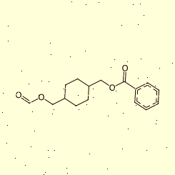 O=COCC1CCC(COC(=O)c2ccccc2)CC1